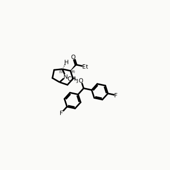 CCC(=O)[C@H]1[C@H](OC(c2ccc(F)cc2)c2ccc(F)cc2)CC2CC[C@@H]1N2C